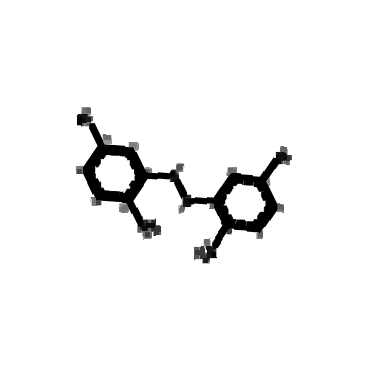 CC(C)c1ccc(N)c(SSc2cc(C(C)C)ccc2N)c1